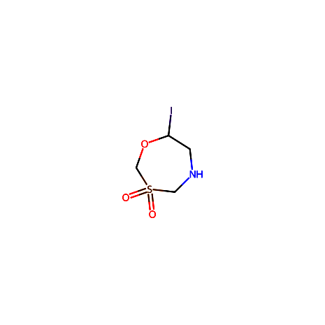 O=S1(=O)CNCC(I)OC1